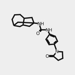 O=C(Nc1ccc(N2CCCC2=O)cc1)NC12CC3CCCC(C1)C(C3)C2